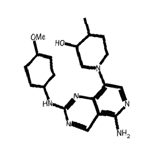 COC1CCC(Nc2ncc3c(N)ncc(N4CCC(C)C(O)C4)c3n2)CC1